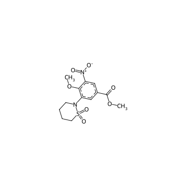 COC(=O)c1cc(N2CCCCS2(=O)=O)c(OC)c([N+](=O)[O-])c1